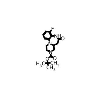 CC(C)(C)OC(=O)N1CCN2c3cccc(F)c3NC(=O)CC2C1